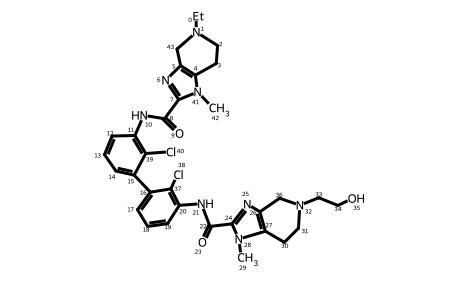 CCN1CCc2c(nc(C(=O)Nc3cccc(-c4cccc(NC(=O)c5nc6c(n5C)CCN(CCO)C6)c4Cl)c3Cl)n2C)C1